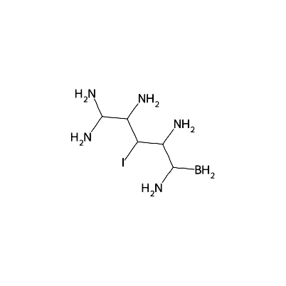 BC(N)C(N)C(I)C(N)C(N)N